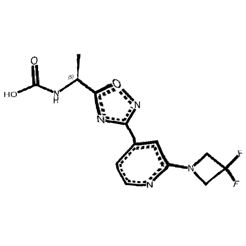 C[C@H](NC(=O)O)c1nc(-c2ccnc(N3CC(F)(F)C3)c2)no1